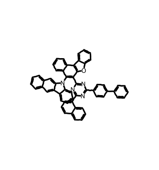 c1ccc(-c2ccc(-c3nc(-c4cccc5ccccc45)nc(-c4c(-n5c6ccccc6c6cc7ccccc7cc65)c5ccccc5c5c4oc4ccccc45)n3)cc2)cc1